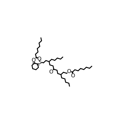 CCCCCCCC(=O)OCCC(CCCCC)CCC(=O)CCC(CCCCC)CCS[C@@H]1CCCC[C@H]1OC(=O)CCCCCCC